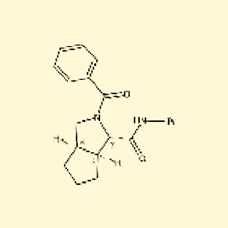 CC(C)NC(=O)[C@@H]1[C@H]2CCC[C@H]2CN1C(=O)c1ccccc1